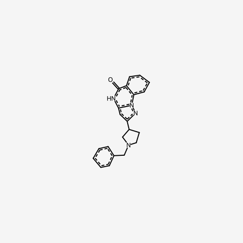 O=c1[nH]c2cc(C3CCN(Cc4ccccc4)C3)nn2c2ccccc12